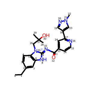 CCc1ccc2c(c1)[nH]/c(=N\C(=O)c1ccnc(-c3cnn(C)c3)c1)n2CC(C)(C)O